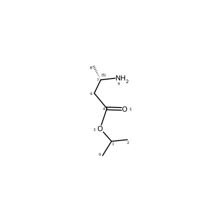 CC(C)OC(=O)C[C@H](C)N